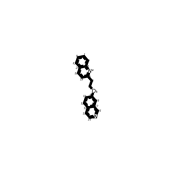 c1ccc2nc(CCOc3ccc4ccncc4c3)ccc2c1